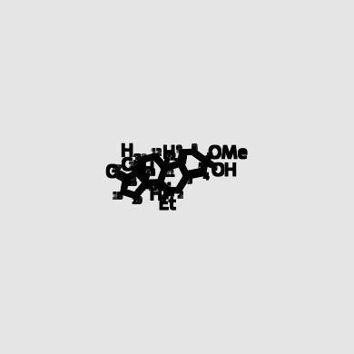 CC[C@@H]1CC2=CC(O)(OC)CC=C2[C@H]2CC[C@]3(C)C(=O)CC[C@H]3[C@H]12